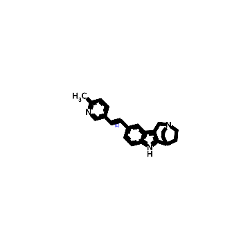 Cc1ccc(/C=C/c2ccc3[nH]c4c(c3c2)CN2CCC4CC2)cn1